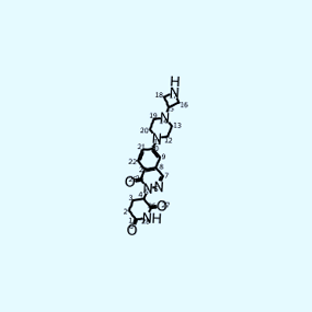 O=C1CCC(n2ncc3cc(N4CCN(C5CNC5)CC4)ccc3c2=O)C(=O)N1